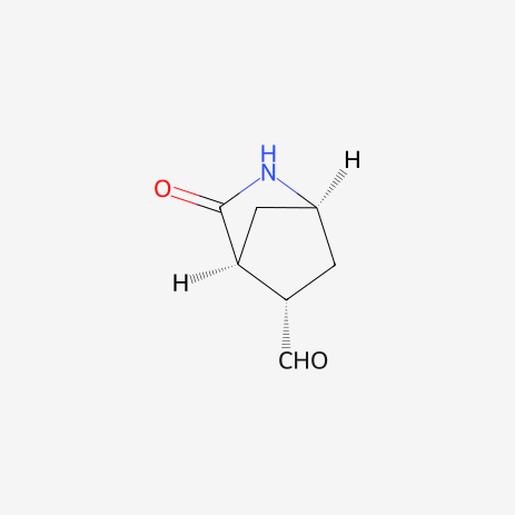 O=C[C@H]1C[C@H]2C[C@@H]1C(=O)N2